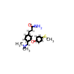 CSc1ccc(Oc2cc(CCC(N)=O)ccc2CN(C)C)cc1